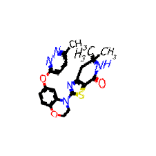 Cc1ccc(Oc2ccc3c(c2)N(c2nc4c(s2)C(=O)NC(C)(C)C4)CCO3)nn1